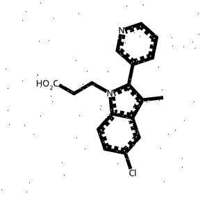 Cc1c(-c2cccnc2)n(CCC(=O)O)c2ccc(Cl)cc12